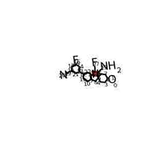 COC1CCC2(CC1)Cc1ccc(-c3cc(F)cc(C#N)c3)cc1C21C=C(F)C(N)=N1